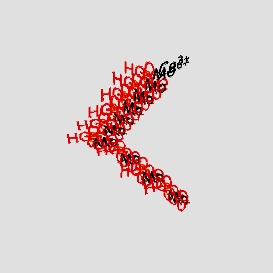 O=P(O)(O)[O][Mo](=[O])(=[O])[O-].O=P(O)(O)[O][Mo](=[O])(=[O])[O-].O=P(O)(O)[O][Mo](=[O])(=[O])[O-].O=P(O)(O)[O][Mo](=[O])(=[O])[O-].O=P(O)(O)[O][Mo](=[O])(=[O])[O-].O=P(O)(O)[O][Mo](=[O])(=[O])[O-].O=P(O)(O)[O][Mo](=[O])(=[O])[O-].O=P(O)(O)[O][Mo](=[O])(=[O])[O-].O=P(O)(O)[O][Mo](=[O])(=[O])[O-].[Ce+3].[Mo+6]